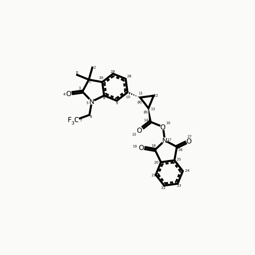 CC1(C)C(=O)N(CC(F)(F)F)c2cc([C@@H]3C[C@H]3C(=O)ON3C(=O)c4ccccc4C3=O)ccc21